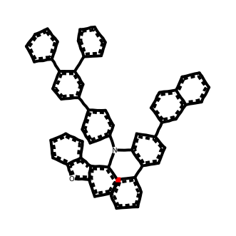 c1ccc(-c2ccc(-c3ccc(N(c4cc(-c5ccc6ccccc6c5)ccc4-c4ccccc4)c4cccc5oc6ccccc6c45)cc3)cc2-c2ccccc2)cc1